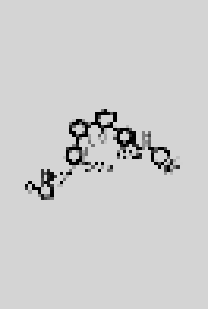 COc1cc(-c2nccc(-c3cccc(-c4ccc(CNC[C@@H]5CCC(=O)N5)c(OC)n4)c3Cl)c2Cl)ccc1CNC1CCS(=O)(=O)CC1